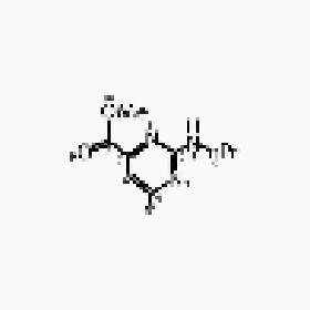 CCCNc1nc(C)cc(C(=O)OC)n1